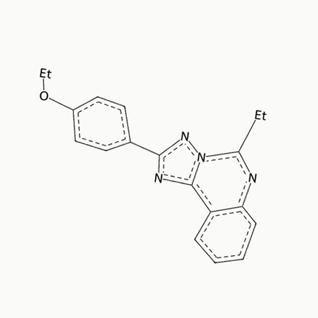 CCOc1ccc(-c2nc3c4ccccc4nc(CC)n3n2)cc1